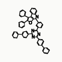 c1ccc(-c2ccc(-c3nc(-c4ccc(-c5ccccc5)cc4)nc(-c4cccc(-c5nc6ccccc6c6c(-c7ccccc7)c(-c7ccccc7)oc56)c4)n3)cc2)cc1